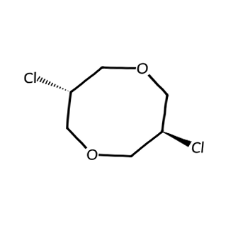 Cl[C@H]1COC[C@H](Cl)COC1